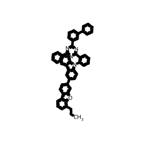 CCCc1cccc2c1oc1cc(-c3ccc4c(c3)c3ccccc3n4-c3ccccc3-c3nc(-c4ccccc4)nc(-c4cccc(-c5ccccc5)c4)n3)ccc12